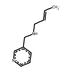 [CH2]C=CCNCc1cccnc1